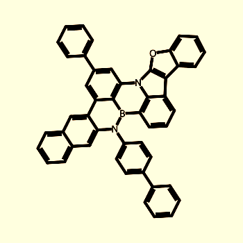 c1ccc(-c2ccc(N3B4c5c(cc(-c6ccccc6)cc5-n5c6oc7ccccc7c6c6cccc4c65)-c4cc5ccccc5cc43)cc2)cc1